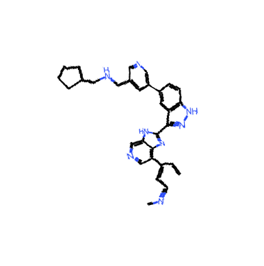 C=C/C(=C\C=N/C)c1cncc2[nH]c(-c3n[nH]c4ccc(-c5cncc(CNCC6CCCC6)c5)cc34)nc12